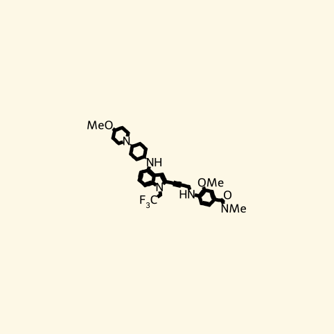 CNC(=O)c1ccc(NCC#Cc2cc3c(N[C@H]4CC[C@@H](N5CCC(OC)CC5)CC4)cccc3n2CC(F)(F)F)c(OC)c1